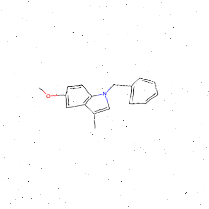 COc1ccc2c(c1)c(C)cn2Cc1ccccc1